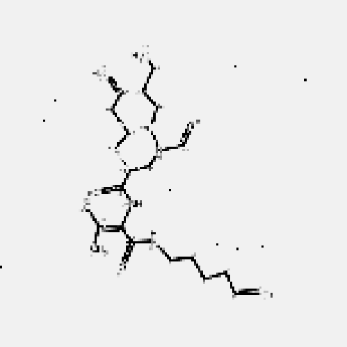 C=CCCCCNC(=O)C(NC(=O)[C@H](CCCC=C)CN(C=O)OCCCC)=C(C)C